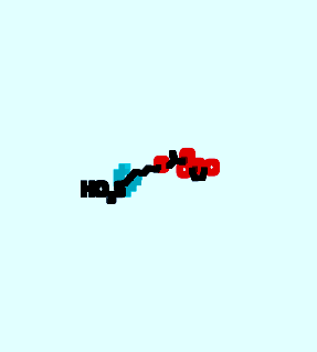 C=C(COCCCCC(F)(F)C(F)(F)S(=O)(=O)O)C(=O)OC1CCC(=O)O1